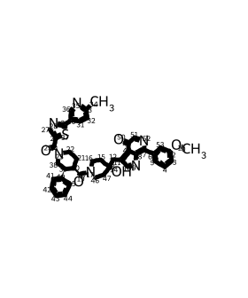 COc1cccc(C2=C3N=CC(CC4(O)CCN(C(=O)[C@@H]5CCN(C(=O)c6cnc(-c7ccc(C)nc7)s6)C[C@H]5c5ccccc5)CC4)=C3C(=O)C=N2)c1